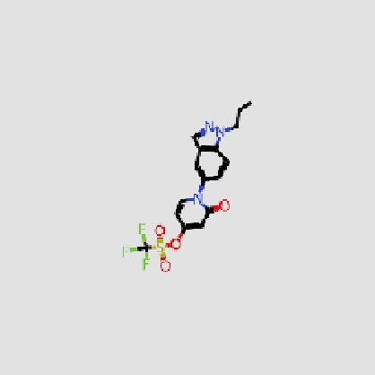 CCCn1ncc2cc(-n3ccc(OS(=O)(=O)C(F)(F)F)cc3=O)ccc21